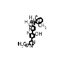 COc1cc(-c2cc(O)c(-c3ccc(N(C)C4C[C@]5(C)CCC[C@](C)(C4)N5)nn3)c(F)c2)ncn1